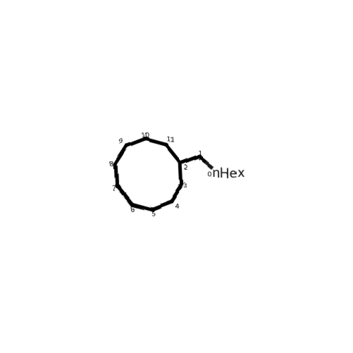 CCCCCC[CH]C1CCCCCCCCC1